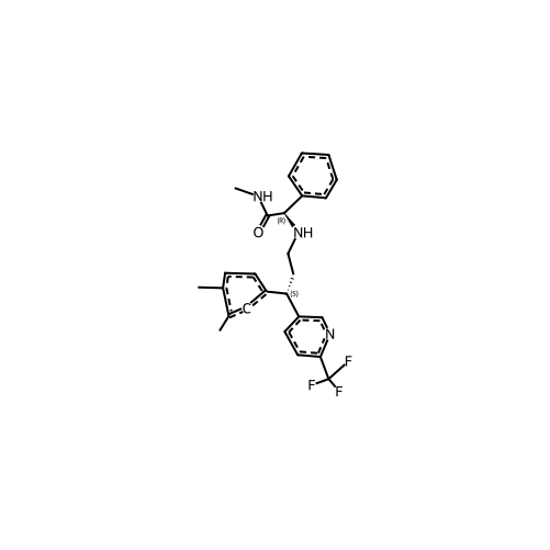 CNC(=O)[C@H](NCC[C@H](c1ccc(C(F)(F)F)nc1)c1ccc(C)c(C)c1)c1ccccc1